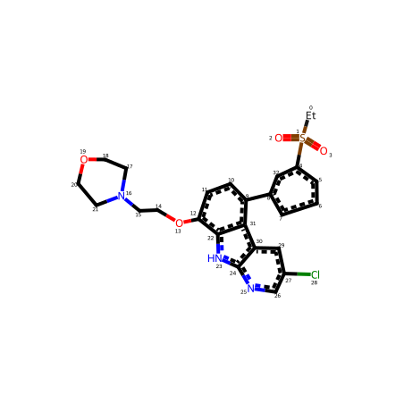 CCS(=O)(=O)c1cccc(-c2ccc(OCCN3CCOCC3)c3[nH]c4ncc(Cl)cc4c23)c1